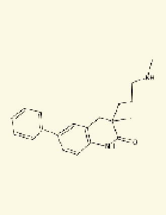 CNCCCC1(C)Cc2cc(-c3ccccc3)ccc2NC1=O